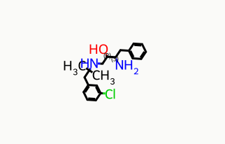 CC(C)(Cc1cccc(Cl)c1)NC[C@@H](O)[C@@H](N)Cc1ccccc1